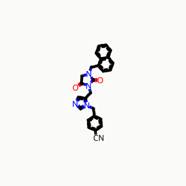 N#Cc1ccc(Cn2cncc2CN2C(=O)CN(Cc3cccc4ccccc34)C2=O)cc1